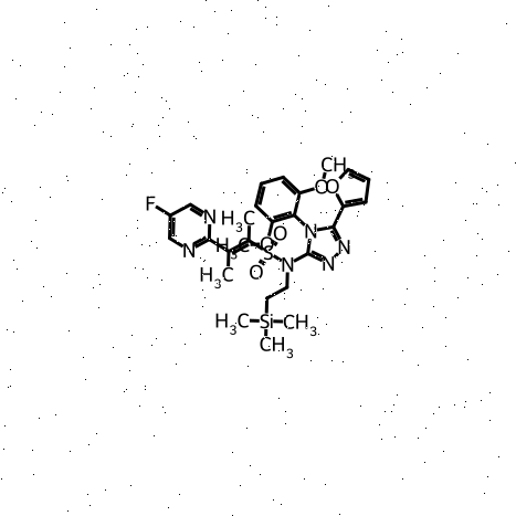 COc1cccc(OC)c1-n1c(-c2ccco2)nnc1N(CC[Si](C)(C)C)S(=O)(=O)/C(C)=C(\C)c1ncc(F)cn1